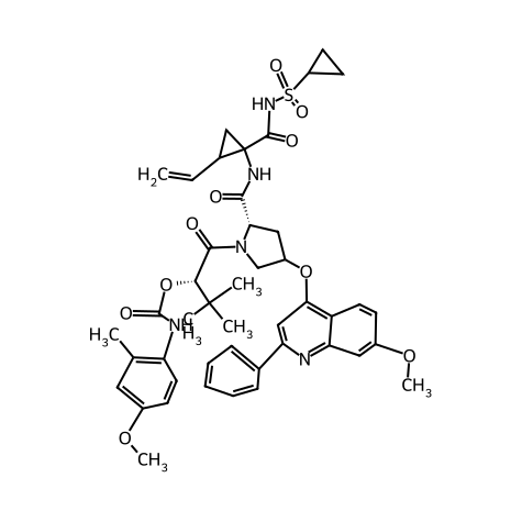 C=CC1CC1(NC(=O)[C@@H]1CC(Oc2cc(-c3ccccc3)nc3cc(OC)ccc23)CN1C(=O)[C@@H](OC(=O)Nc1ccc(OC)cc1C)C(C)(C)C)C(=O)NS(=O)(=O)C1CC1